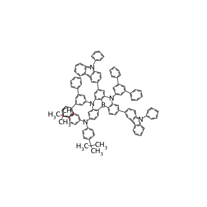 CC(C)(C)c1ccc(N(c2ccc(C(C)(C)C)cc2)c2ccc3c(c2)N(c2cc(-c4ccccc4)cc(-c4ccccc4)c2)c2cc(-c4ccc5c(c4)c4ccccc4n5-c4ccccc4)cc4c2B3c2ccc(-c3ccc5c(c3)c3ccccc3n5-c3ccccc3)cc2N4c2cc(-c3ccccc3)cc(-c3ccccc3)c2)cc1